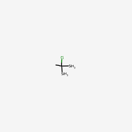 CC([SiH3])([SiH3])Cl